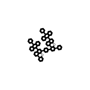 c1ccc(-c2ccc(-c3ccc(-c4cc(-c5c6ccccc6c(-c6ccccc6)c6ccccc56)c5cccc6c5c4Oc4ccccc4-6)cc3)c3c2Oc2ccc(-c4c5ccccc5c(-c5ccccc5)c5ccccc45)c4cccc-3c24)cc1